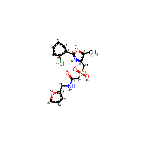 Cc1oc(-c2ccccc2Cl)nc1CS(=O)(=O)CC(=O)NCc1ccco1